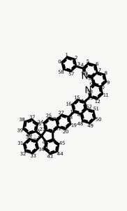 c1ccc(-c2ccc3ccc4ccc(-c5ccc(-c6ccc7c8c(ccc7c6)C(c6ccccc6)(c6ccccc6)c6ccccc6-8)c6ccccc56)nc4c3n2)cc1